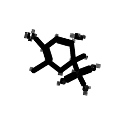 CC1=C(N)C=CC(C)(S(=O)(=O)[O-])C1.[Na+]